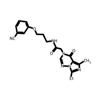 CCc1nc(C)c2c(=O)n(CC(=O)NCCCOc3cccc(C#N)c3)cnn12